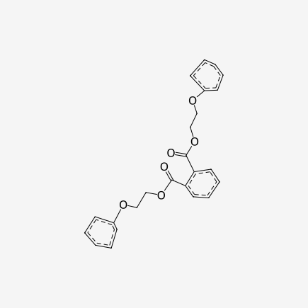 O=C(OCCOc1ccccc1)c1ccccc1C(=O)OCCOc1ccccc1